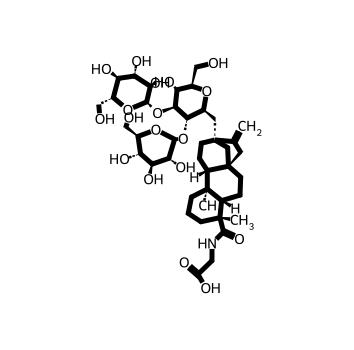 C=C1C[C@@]23CC[C@H]4[C@@](C)(CCC[C@@]4(C)C(=O)NCC(=O)O)[C@@H]2CC[C@]1(C[C@@H]1O[C@H](CO)[C@@H](O)[C@H](O[C@@H]2O[C@H](CO)[C@@H](O)[C@H](O)[C@H]2O)[C@H]1O[C@@H]1O[C@H](CO)[C@@H](O)[C@H](O)[C@H]1O)C3